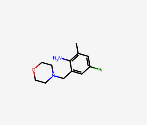 Cc1cc(Br)cc(CN2CCOCC2)c1N